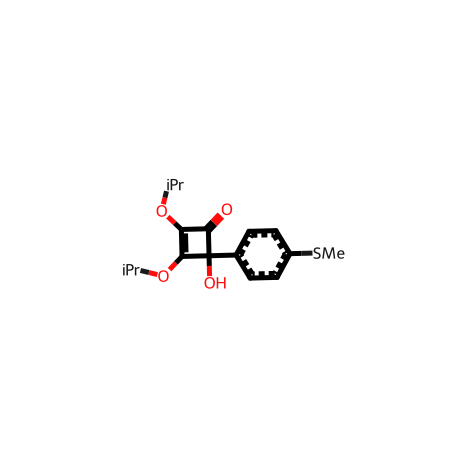 CSc1ccc(C2(O)C(=O)C(OC(C)C)=C2OC(C)C)cc1